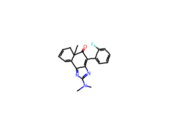 CN(C)C1=NC2=C(c3ccccc3F)C(=O)C3(C)CC=CC=C3C2=N1